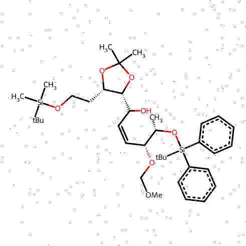 COCO[C@H](/C=C\C(O)[C@H]1OC(C)(C)O[C@H]1CCO[Si](C)(C)C(C)(C)C)[C@H](C)O[Si](c1ccccc1)(c1ccccc1)C(C)(C)C